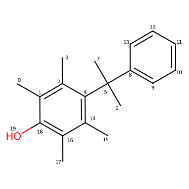 Cc1c(C)c(C(C)(C)c2ccccc2)c(C)c(C)c1O